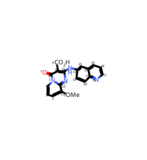 COc1cccn2c(=O)c(C(=O)O)c(Nc3ccc4ncccc4c3)nc12